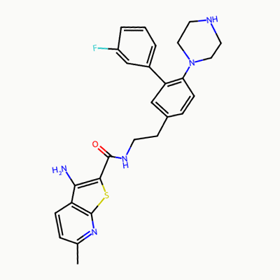 Cc1ccc2c(N)c(C(=O)NCCc3ccc(N4CCNCC4)c(-c4cccc(F)c4)c3)sc2n1